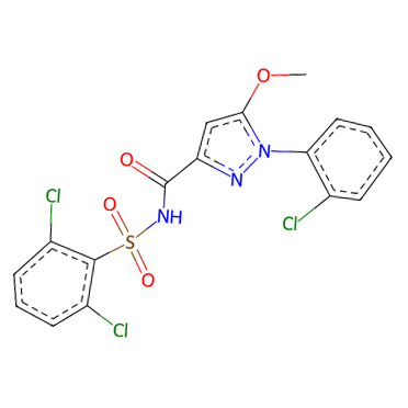 COc1cc(C(=O)NS(=O)(=O)c2c(Cl)cccc2Cl)nn1-c1ccccc1Cl